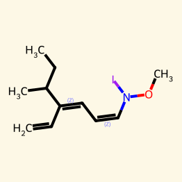 C=C/C(=C\C=C/N(I)OC)C(C)CC